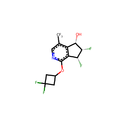 O[C@H]1c2c(C(F)(F)F)cnc(OC3CC(F)(F)C3)c2[C@@H](F)[C@H]1F